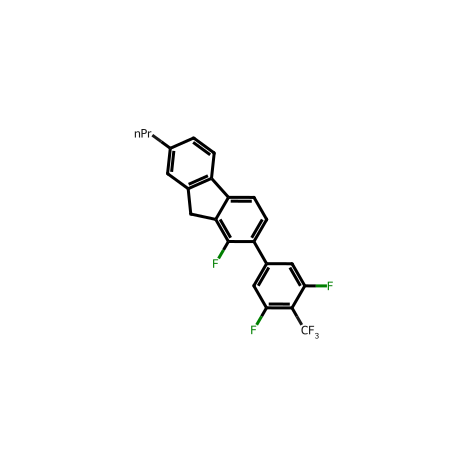 CCCc1ccc2c(c1)Cc1c-2ccc(-c2cc(F)c(C(F)(F)F)c(F)c2)c1F